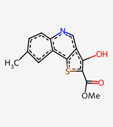 COC(=O)c1sc2c(cnc3ccc(C)cc32)c1O